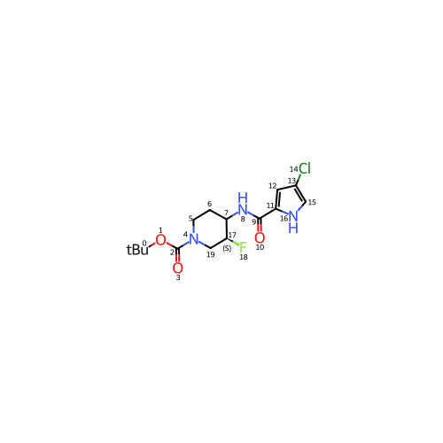 CC(C)(C)OC(=O)N1CCC(NC(=O)c2cc(Cl)c[nH]2)[C@@H](F)C1